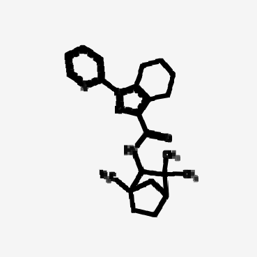 CC12CCC(C1)C(C)(C)C2NC(=O)c1nn(-c2ccccn2)c2c1CCCC2